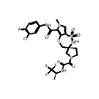 C[C@H](NC(=O)C(=O)N1CC[C@]2(COc3c(cn(C)c3C(=O)Nc3ccc(F)c(Cl)c3)S(=O)(=O)N2)C1)C(F)(F)F